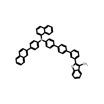 Cc1c(-c2cccc(-c3ccc(-c4ccc(N(c5ccc(-c6ccc7ccccc7c6)cc5)c5cccc6ccccc56)cc4)cc3)c2)oc2ccccc12